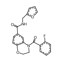 O=C(NCc1ccco1)c1ccc2c(c1)N(C(=O)c1ccccc1F)CCO2